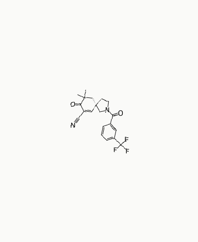 CC1(C)C[C@]2(C=C(C#N)C1=O)CCN(C(=O)c1cccc(C(F)(F)F)c1)C2